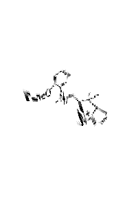 COc1ccccc1N(C)/N=C/C1=[N+](C)c2ccccc2C1(C)C